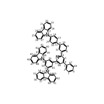 c1ccc(-c2cc(-c3cccc(-c4ccc(-n5c6ccccc6c6ccccc65)cc4)c3)nc(-c3cc(-n4c5ccccc5c5ccccc54)cc(-n4c5ccccc5c5ccccc54)c3)c2)cc1